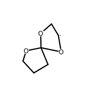 [CH]1COC2(CCCO2)O1